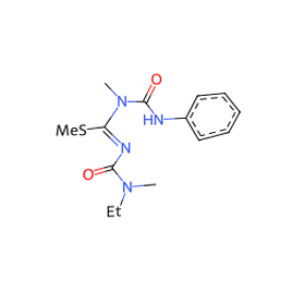 CCN(C)C(=O)N=C(SC)N(C)C(=O)Nc1ccccc1